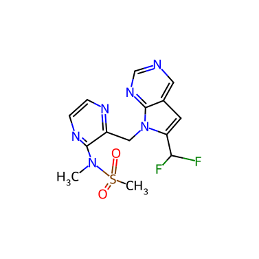 CN(c1nccnc1Cn1c(C(F)F)cc2cncnc21)S(C)(=O)=O